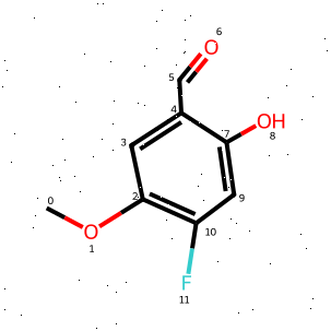 COc1cc(C=O)c(O)cc1F